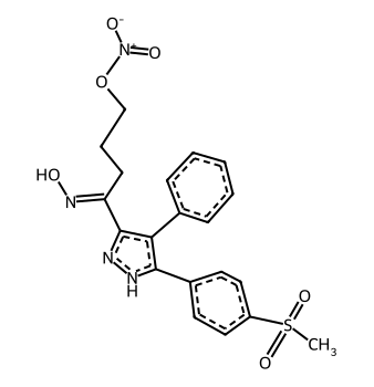 CS(=O)(=O)c1ccc(-c2[nH]nc(C(CCCO[N+](=O)[O-])=NO)c2-c2ccccc2)cc1